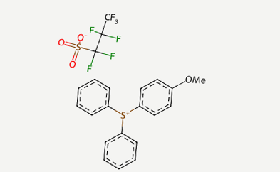 COc1ccc([S+](c2ccccc2)c2ccccc2)cc1.O=S(=O)([O-])C(F)(F)C(F)(F)C(F)(F)F